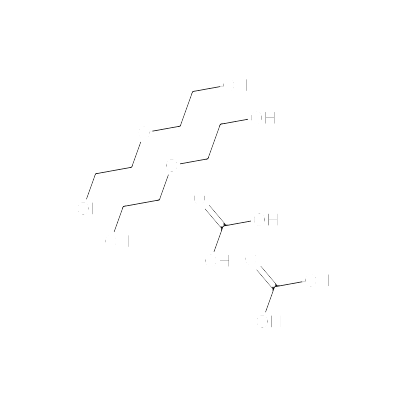 O=C(O)O.O=C(O)O.OCCOCCO.OCCOCCO